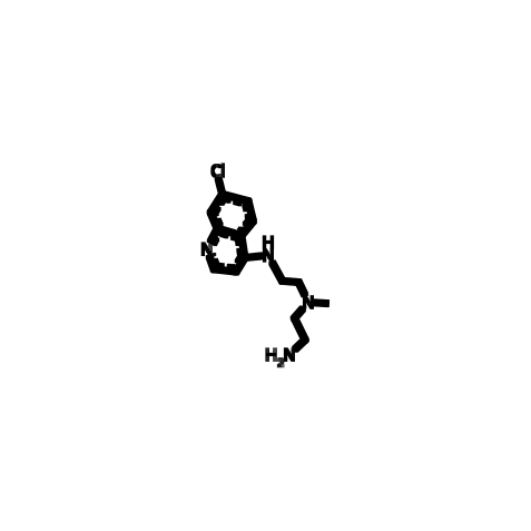 CN(CCN)CCNc1ccnc2cc(Cl)ccc12